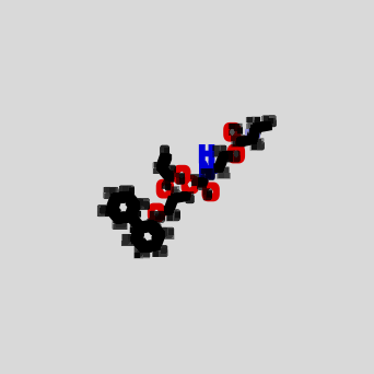 C=CC(=O)OC(COC(=O)NCCOC(=O)/C=C/C)COc1ccccc1-c1ccccc1